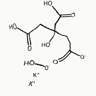 O=C([O-])CC(O)(CC(=O)O)C(=O)O.[K+].[K+].[O-]O